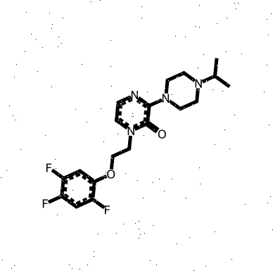 CC(C)N1CCN(c2nccn(CCOc3cc(F)c(F)cc3F)c2=O)CC1